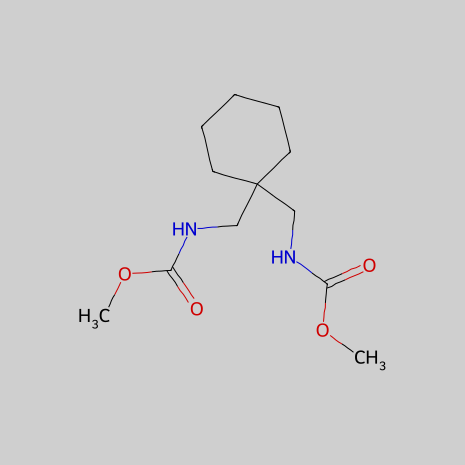 COC(=O)NCC1(CNC(=O)OC)CCCCC1